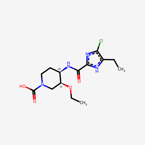 CCO[C@H]1CN(C(=O)O)CC[C@H]1NC(=O)c1nc(Cl)c(CC)[nH]1